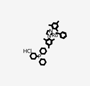 C1CCC(P(C2CCCCC2)C2CCCCC2)CC1.Cc1cc(C)c(N2CCN(c3c(C)cc(C)cc3C)[C]2=[Ru]=[CH]c2ccccc2)c(C)c1.Cl